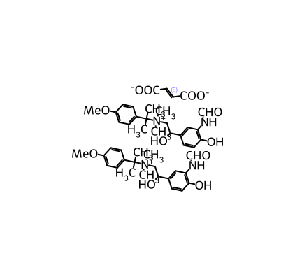 COc1ccc(C(C)(C)[N+](C)(C)CC(O)c2ccc(O)c(NC=O)c2)cc1.COc1ccc(C(C)(C)[N+](C)(C)CC(O)c2ccc(O)c(NC=O)c2)cc1.O=C([O-])/C=C/C(=O)[O-]